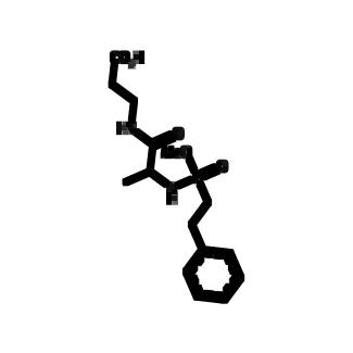 COP(=O)(CCc1ccccc1)NC(C)C(=O)NCCC(=O)O